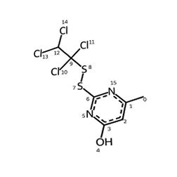 Cc1cc(O)nc(SSC(Cl)(Cl)C(Cl)Cl)n1